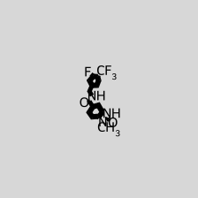 Cn1c(=O)[nH]c2cc(C(=O)NCc3ccc(C(F)(F)F)c(F)c3)ccc21